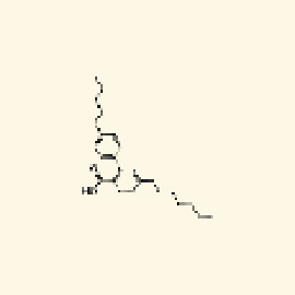 CCCCCCCc1ccc(C(=O)O)c(-c2ccc(CCCCC)cc2)c1